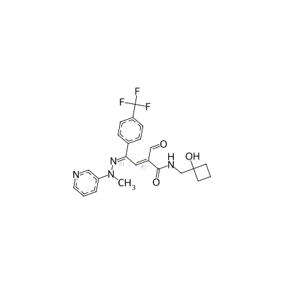 CN(/N=C(\C=C(/C=O)C(=O)NCC1(O)CCC1)c1ccc(C(F)(F)F)cc1)c1cccnc1